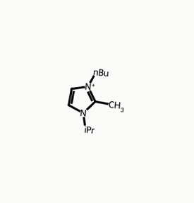 CCCC[n+]1ccn(C(C)C)c1C